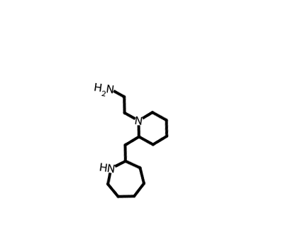 NCCN1CCCCC1CC1CCCCCN1